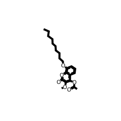 CCCCCCCCCCOc1cccc2c(OC(C)=O)c(OC)c(=O)oc12